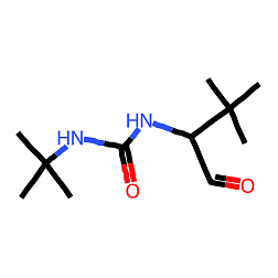 CC(C)(C)NC(=O)NC(C=O)C(C)(C)C